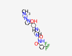 CN1CCN(c2cccc(C3(O)CCC(N4CC[C@@H]5[C@H]4CCN5C(=O)CNC(=O)c4cccc(C(F)(F)F)c4)CC3)n2)CC1